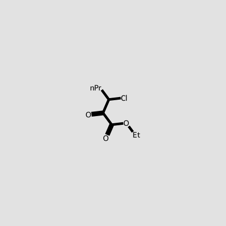 CCCC(Cl)C(=O)C(=O)OCC